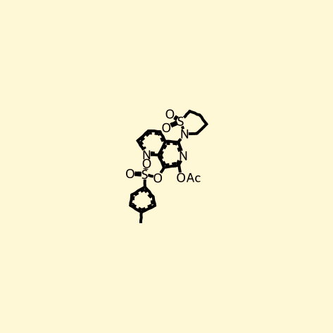 CC(=O)Oc1nc(N2CCCCS2(=O)=O)c2cccnc2c1OS(=O)(=O)c1ccc(C)cc1